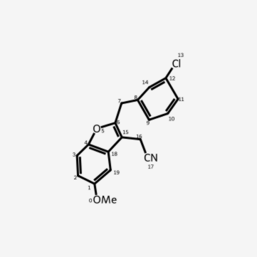 COc1ccc2oc(Cc3cccc(Cl)c3)c(CC#N)c2c1